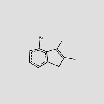 CC1=C(C)c2c(Br)cccc2[CH]1